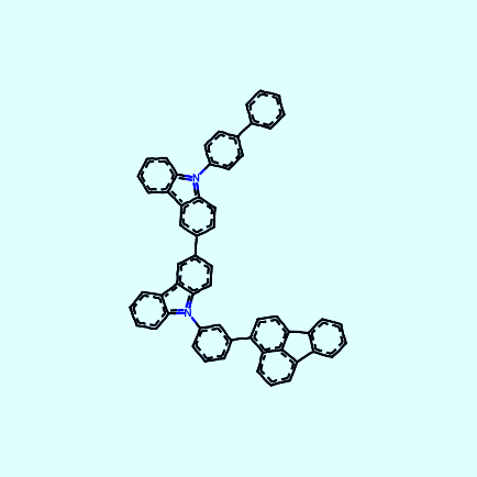 c1ccc(-c2ccc(-n3c4ccccc4c4cc(-c5ccc6c(c5)c5ccccc5n6-c5cccc(-c6ccc7c8c(cccc68)-c6ccccc6-7)c5)ccc43)cc2)cc1